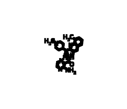 Cc1cccc2cc(CNC(=O)c3nccnc3N)c(N(C)C3CCN(C)CC3)nc12